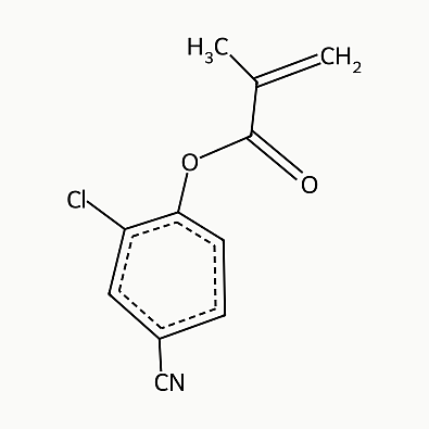 C=C(C)C(=O)Oc1ccc(C#N)cc1Cl